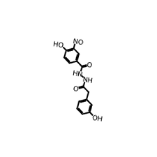 O=Nc1cc(C(=O)NNC(=O)Cc2cccc(O)c2)ccc1O